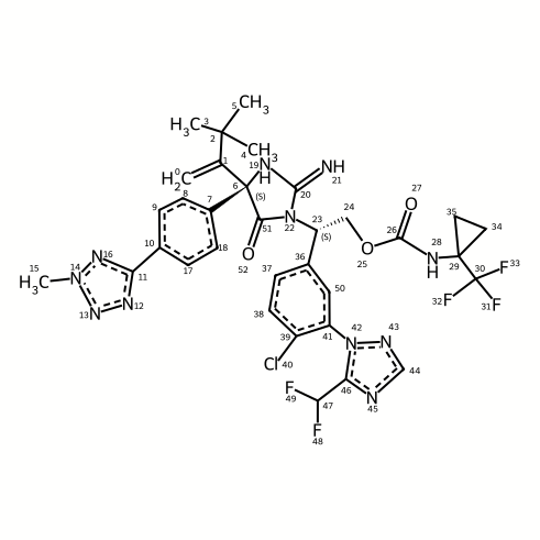 C=C(C(C)(C)C)[C@]1(c2ccc(-c3nnn(C)n3)cc2)NC(=N)N([C@H](COC(=O)NC2(C(F)(F)F)CC2)c2ccc(Cl)c(-n3ncnc3C(F)F)c2)C1=O